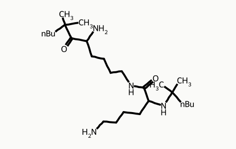 CCCCC(C)(C)NC(CCCCN)C(=O)NCCCCC(N)C(=O)C(C)(C)CCCC